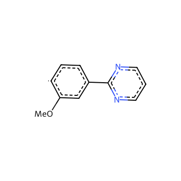 COc1[c]ccc(-c2ncccn2)c1